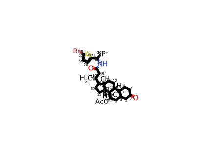 CC(=O)O[C@@H]1CC2CC(=O)CCC2(C)[C@H]2CCC3(C)C([C@H](C)CC(=O)NC(c4ccc(Br)s4)C(C)C)CC[C@H]3C12